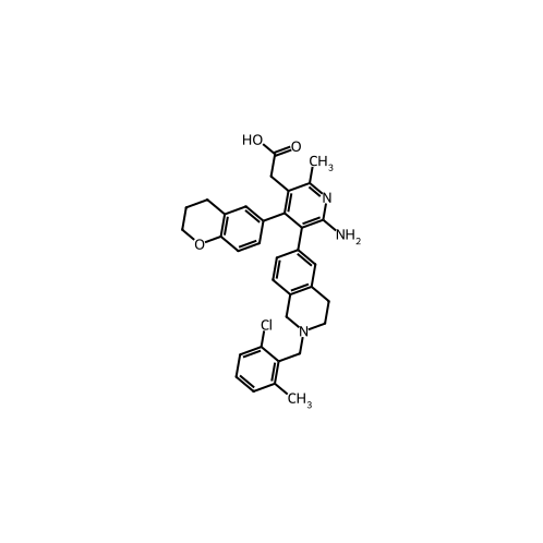 Cc1cccc(Cl)c1CN1CCc2cc(-c3c(N)nc(C)c(CC(=O)O)c3-c3ccc4c(c3)CCCO4)ccc2C1